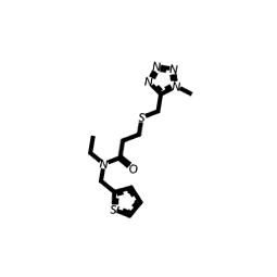 CCN(Cc1cccs1)C(=O)CCSCc1nnnn1C